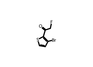 O=C(CF)c1sccc1Br